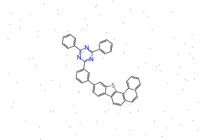 c1ccc(-c2nc(-c3ccccc3)nc(-c3cccc(-c4ccc5c(c4)sc4c5ccc5ccc6ccccc6c54)c3)n2)cc1